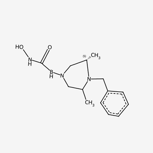 CC1CN(BC(=O)NO)C[C@H](C)N1Cc1ccccc1